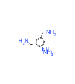 N.N.NCc1cccc(CN)c1